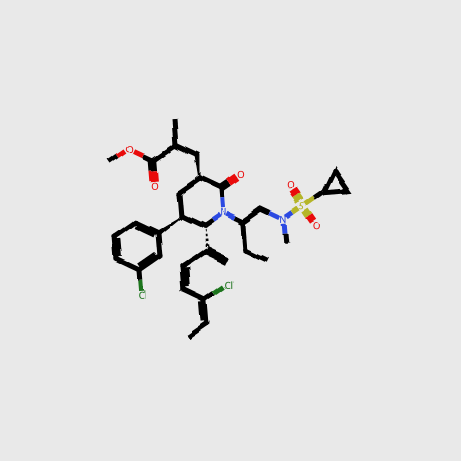 C=C(/C=C\C(Cl)=C/C)[C@@H]1[C@@H](c2cccc(Cl)c2)C[C@@H](CC(C)C(=O)OC)C(=O)N1C(CC)CN(C)S(=O)(=O)C1CC1